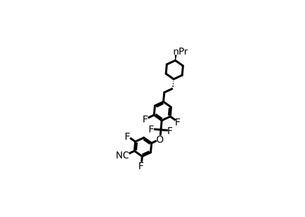 CCC[C@H]1CC[C@H](CCc2cc(F)c(C(F)(F)Oc3cc(F)c(C#N)c(F)c3)c(F)c2)CC1